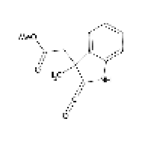 COC(=O)CC1(C)C(=C=O)Nc2ccccc21